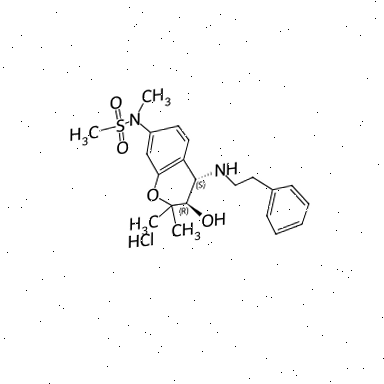 CN(c1ccc2c(c1)OC(C)(C)[C@H](O)[C@H]2NCCc1ccccc1)S(C)(=O)=O.Cl